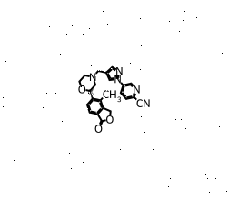 Cc1c([C@@H]2CN(Cc3cnn(-c4ccc(C#N)nc4)c3)CCO2)ccc2c1COC2=O